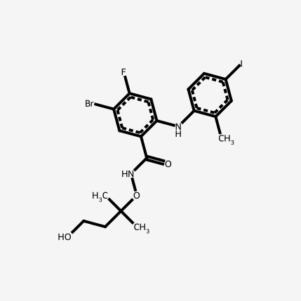 Cc1cc(I)ccc1Nc1cc(F)c(Br)cc1C(=O)NOC(C)(C)CCO